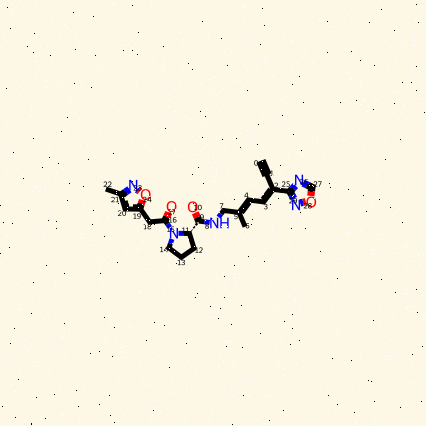 C#C/C(=C\C=C(/C)CNC(=O)[C@@H]1CCCN1C(=O)Cc1cc(C)no1)c1ncon1